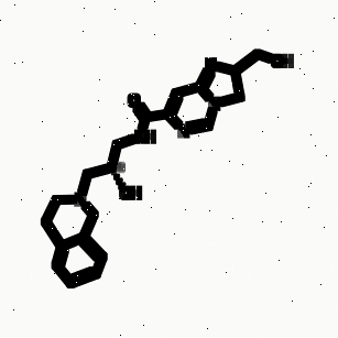 O=C(NC[C@H](O)CN1CCc2ccccc2C1)C1=CC2=NC(CO)CN2C=N1